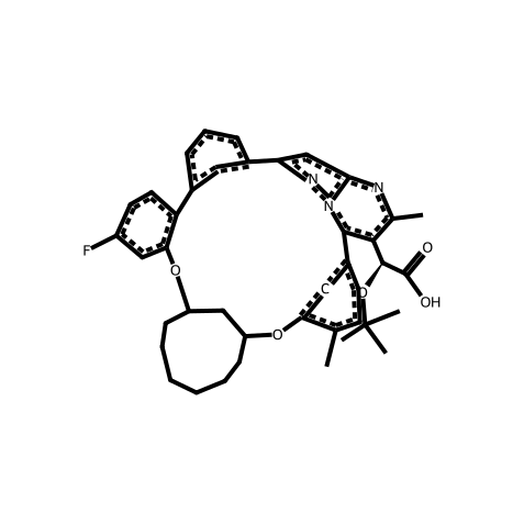 Cc1ccc2cc1OC1CCCCCCC(C1)Oc1cc(F)ccc1-c1cccc(c1)-c1cc3nc(C)c([C@H](OC(C)(C)C)C(=O)O)c-2n3n1